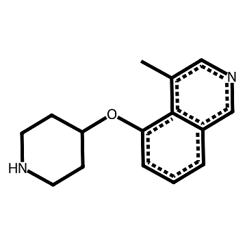 Cc1cncc2cccc(OC3CCNCC3)c12